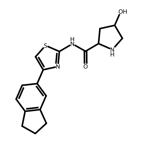 O=C(Nc1nc(-c2ccc3c(c2)CCC3)cs1)C1CC(O)CN1